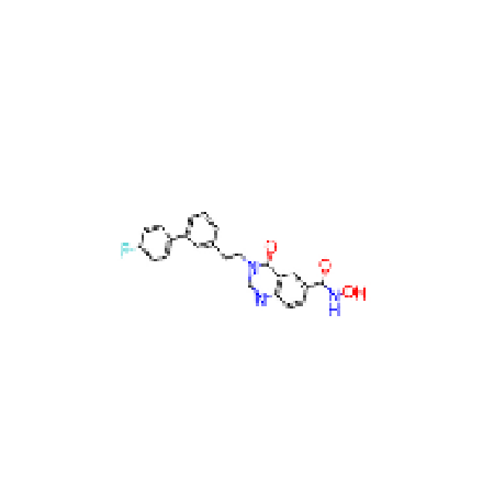 O=C(NO)c1ccc2ncn(CCc3cccc(-c4ccc(F)cc4)c3)c(=O)c2c1